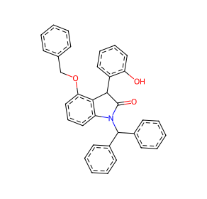 O=C1C(c2ccccc2O)c2c(OCc3ccccc3)cccc2N1C(c1ccccc1)c1ccccc1